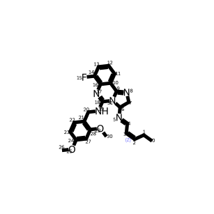 CC/C=C\C=NC1CN=C2c3cccc(F)c3N=C(NCc3ccc(OC)cc3OC)N21